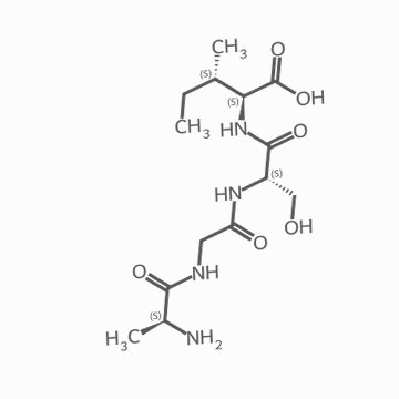 CC[C@H](C)[C@H](NC(=O)[C@H](CO)NC(=O)CNC(=O)[C@H](C)N)C(=O)O